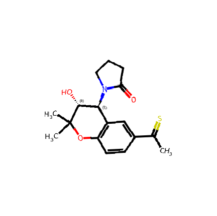 CC(=S)c1ccc2c(c1)[C@H](N1CCCC1=O)[C@@H](O)C(C)(C)O2